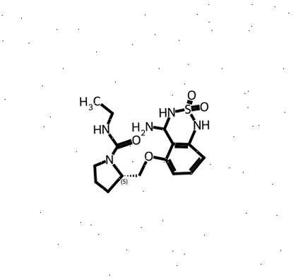 CCNC(=O)N1CCC[C@H]1COc1cccc2c1C(N)NS(=O)(=O)N2